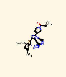 C=CC(=O)N1CCC(c2nc(-c3cc4cc(C)cc(OC)c4s3)c3c(N)nccn23)C1